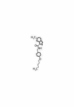 CCCCCOc1ccc(CNC(=O)c2ncn3ccc(C)nc23)cc1